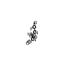 COc1ncc(N2CCOCC2)cc1S(=O)(=O)Nc1cncc(-c2ccc(C=O)cc2F)c1